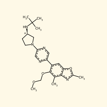 COCOc1c(-c2cnc(N3CC[C@@H](NC(C)(C)C)C3)cn2)cc2oc(C)nc2c1C